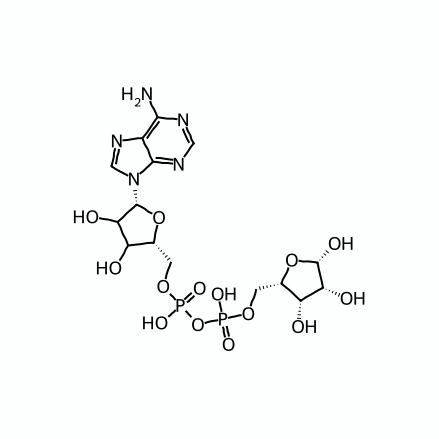 Nc1ncnc2c1ncn2[C@@H]1O[C@H](COP(=O)(O)OP(=O)(O)OC[C@@H]2O[C@H](O)[C@H](O)[C@@H]2O)C(O)C1O